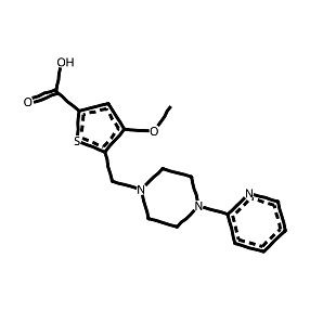 COc1cc(C(=O)O)sc1CN1CCN(c2ccccn2)CC1